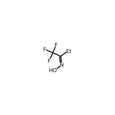 CCC(=NO)C(F)(F)F